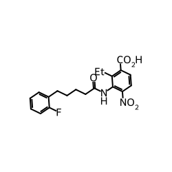 CCc1c(C(=O)O)ccc([N+](=O)[O-])c1NC(=O)CCCCc1ccccc1F